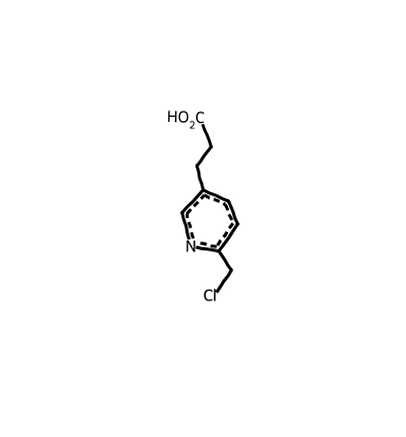 O=C(O)CCc1ccc(CCl)nc1